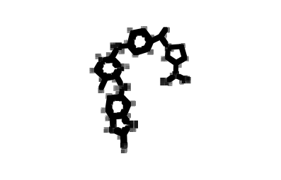 CCN(CC)C1CCN(C(C)c2ccc(Nc3ncc(C)c(Nc4ccc5oc(=O)[nH]c5c4)n3)cc2)C1